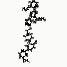 Cc1ccnc(-c2ccc(F)c(N3CCN(CCn4ncc5c4nc(N)n4nc(-c6ncccc6C)nc54)CC3)c2)n1